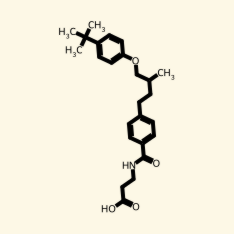 CC(CCc1ccc(C(=O)NCCC(=O)O)cc1)COc1ccc(C(C)(C)C)cc1